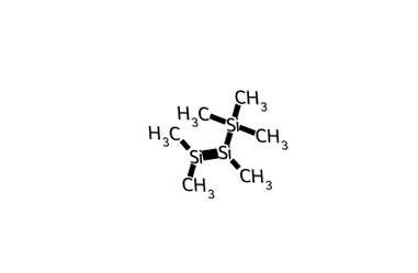 C[Si](C)=[Si](C)[Si](C)(C)C